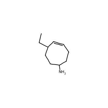 CCC1/C=C\CCC(N)CC1